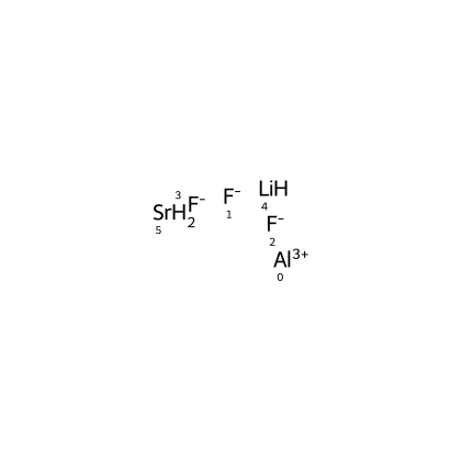 [Al+3].[F-].[F-].[F-].[LiH].[SrH2]